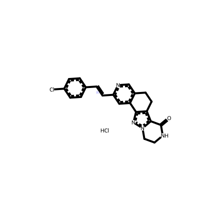 Cl.O=C1NCCn2nc3c(c21)CCc1cnc(/C=C/c2ccc(Cl)cc2)cc1-3